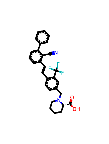 N#Cc1c(/C=C/c2ccc(CN3CCCC[C@H]3C(=O)O)cc2C(F)(F)F)cccc1-c1ccccc1